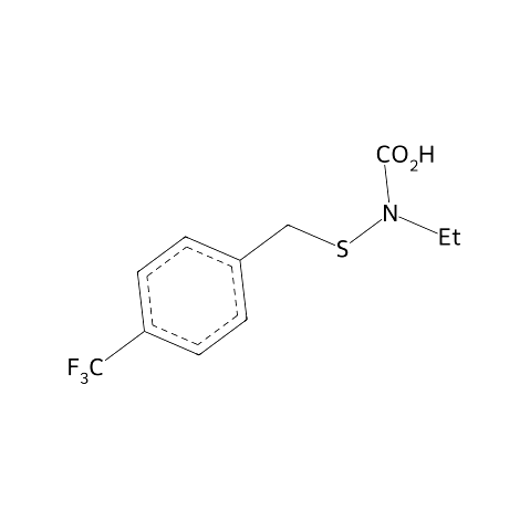 CCN(SCc1ccc(C(F)(F)F)cc1)C(=O)O